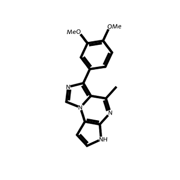 COc1ccc(-c2ncn3c2c(C)nc2[nH]ccc23)cc1OC